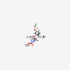 CC(C)(CNC(=O)OC(C)(C)C)COc1cc(OCCF)ccc1C(=O)O